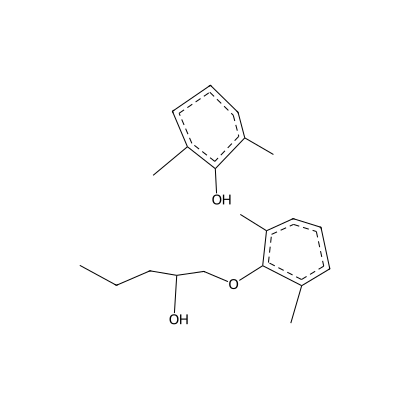 CCCC(O)COc1c(C)cccc1C.Cc1cccc(C)c1O